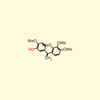 C=C(c1ccc(OC)c(O)c1)c1ccc(OC)c(OC)c1OC